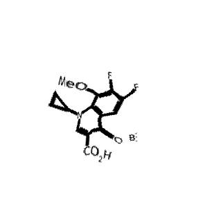 COc1c(F)c(F)cc2c(=O)c(C(=O)O)cn(C3CC3)c12.[B]